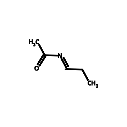 CC/[C]=N/C(C)=O